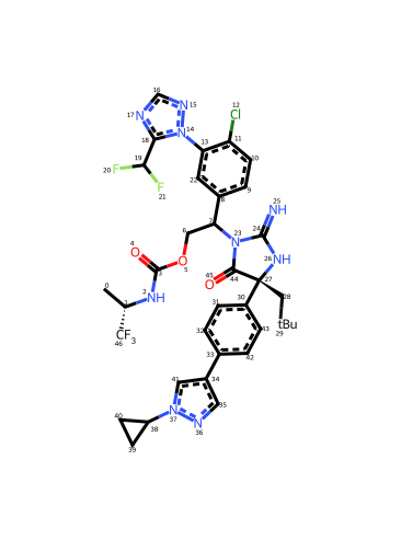 C[C@H](NC(=O)OCC(c1ccc(Cl)c(-n2ncnc2C(F)F)c1)N1C(=N)N[C@](CC(C)(C)C)(c2ccc(-c3cnn(C4CC4)c3)cc2)C1=O)C(F)(F)F